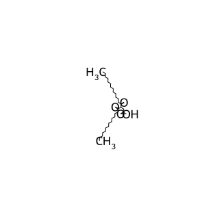 CCCCCCCCCCCCCC(=O)C(CC(=O)O)C(=O)CCCCCCCCCCCCC